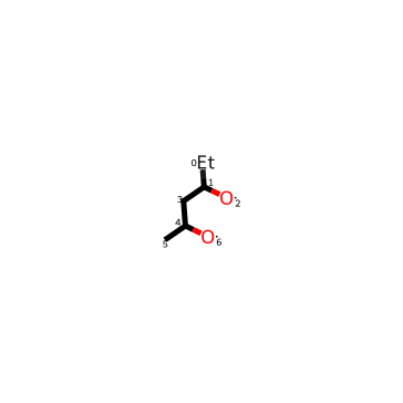 CCC([O])CC(C)[O]